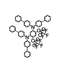 O=S(=O)(Oc1cc(OS(=O)(=O)C(F)(F)F)c(N(c2ccc(-c3ccccc3)cc2)c2ccc(-c3ccccc3)cc2)cc1N(c1ccc(-c2ccccc2)cc1)c1ccc(-c2ccccc2)cc1)C(F)(F)F